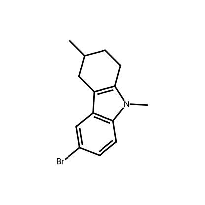 CC1CCc2c(c3cc(Br)ccc3n2C)C1